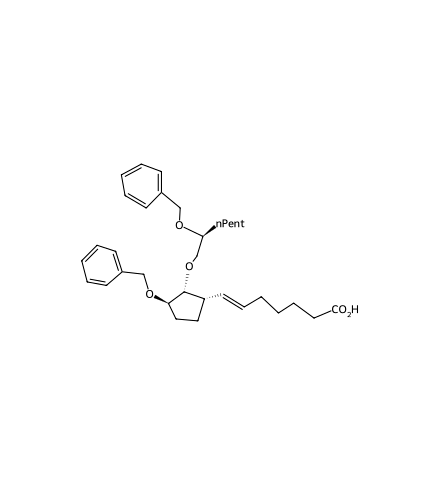 CCCCC[C@@H](CO[C@@H]1[C@H](C=CCCCCC(=O)O)CC[C@H]1OCc1ccccc1)OCc1ccccc1